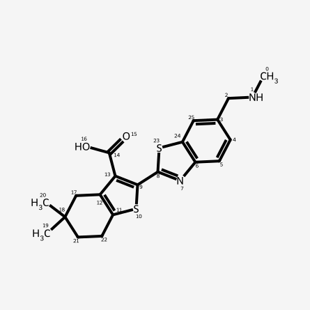 CNCc1ccc2nc(-c3sc4c(c3C(=O)O)CC(C)(C)CC4)sc2c1